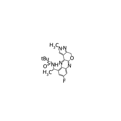 C[C@@H](N[S@+]([O-])C(C)(C)C)c1cc(F)cc2nc3c(nc12)-c1cn(C)nc1CO3